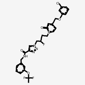 CC(F)(F)Oc1cccc(CNC(=O)c2cn(CC(F)CCn3ccc(COc4cccc(Cl)c4)cc3=O)nn2)c1